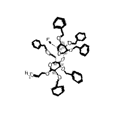 C=CCOC1O[C@H](COCc2ccccc2)[C@@H](O[C@@H]2O[C@H](CF)[C@@H](OCc3ccccc3)[C@H](OCc3ccccc3)[C@H]2OCc2ccccc2)[C@H](OCc2ccccc2)[C@H]1OCc1ccccc1